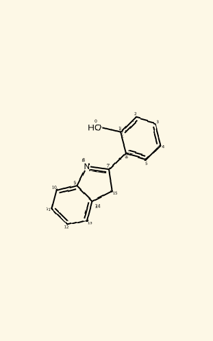 Oc1ccccc1C1=Nc2ccccc2C1